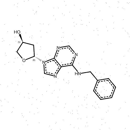 O[C@@H]1[CH]O[C@@H](n2cnc3c(NCc4ccccc4)ncnc32)C1